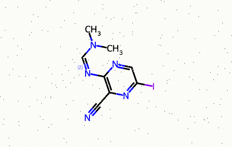 CN(C)/C=N\c1ncc(I)nc1C#N